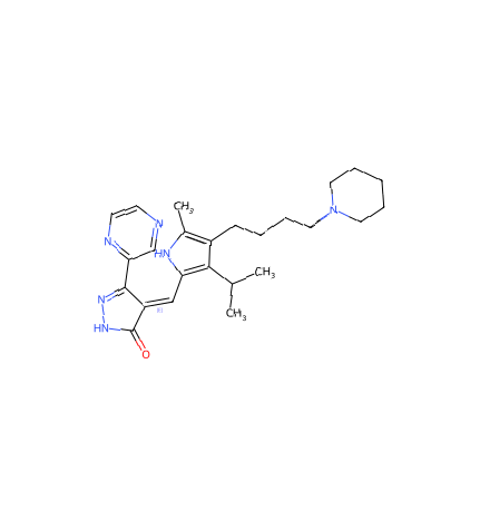 Cc1[nH]c(/C=C2/C(=O)NN=C2c2cnccn2)c(C(C)C)c1CCCCN1CCCCC1